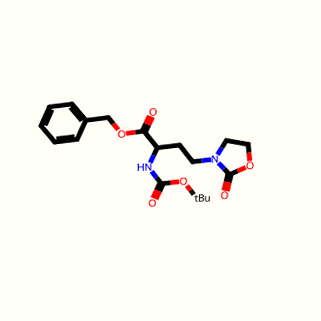 CC(C)(C)OC(=O)NC(CCN1CCOC1=O)C(=O)OCc1ccccc1